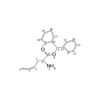 C=C=CCC(N)C(=O)OC(c1ccccc1)c1ccccc1